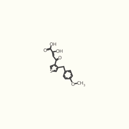 COc1ccc(Cc2cscc2C(=O)C=C(O)C(=O)O)cc1